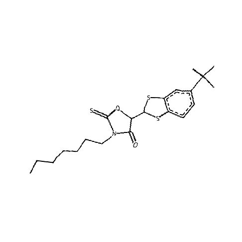 CCCCCCCN1C(=O)C(C2Sc3ccc(C(C)(C)C)cc3S2)OC1=S